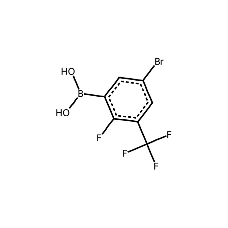 OB(O)c1cc(Br)cc(C(F)(F)F)c1F